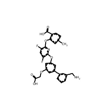 Cc1ccc(C(=O)O)c(Oc2nc(Oc3cc(OCC(=O)O)cc(-c4cccc(CN)c4)c3)c(F)cc2F)c1